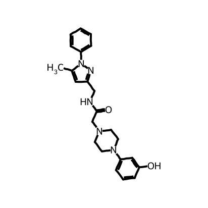 Cc1cc(CNC(=O)CN2CCN(c3cccc(O)c3)CC2)nn1-c1ccccc1